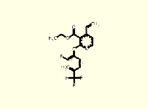 C=Cc1ccnc(OC(/C=C\C(=C)C(F)(F)F)=C\F)c1C(=O)OCC